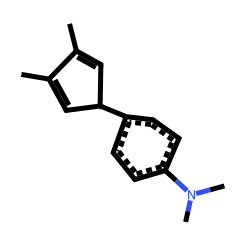 CC1=C[C](c2ccc(N(C)C)cc2)C=C1C